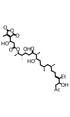 CC/C(=C\CC[C@H](C)C[C@@H](C)CC[C@H](O)[C@H](C)C(=O)C[C@@H](O)[C@H](C)[C@@H](C)OC(=O)C[C@@H](O)C1=C(C)C(=O)OC1=O)C(O)CC(C)=O